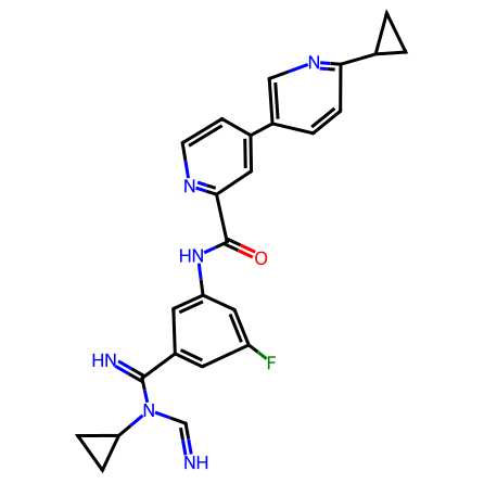 N=CN(C(=N)c1cc(F)cc(NC(=O)c2cc(-c3ccc(C4CC4)nc3)ccn2)c1)C1CC1